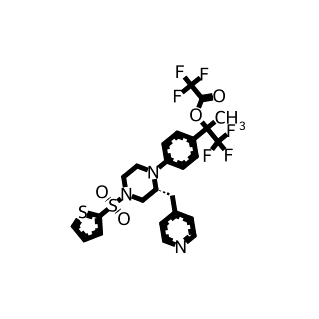 CC(OC(=O)C(F)(F)F)(c1ccc(N2CCN(S(=O)(=O)c3cccs3)C[C@H]2Cc2ccncc2)cc1)C(F)(F)F